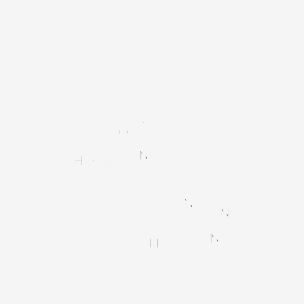 Cc1nnc2n1C1C=C(C(=O)O)N(S(=O)(=O)c3ccccc3)C1C=C2